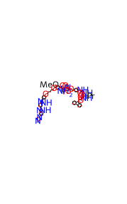 C=C1C[C@@H](C2OCCN2C(=O)OCc2ccc(NC(=O)[C@H](C)NC(=O)[C@@H](NC(=O)OCC3c4ccccc4-c4ccccc43)C(C)C)cc2)N(C(=O)c2cc(OC)c(OCCCCCOc3ccc(-c4nc5ccc(-c6nc7cc(N8CCN(C)CC8)ccc7[nH]6)cc5[nH]4)cc3)cc2N)C1